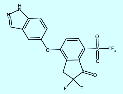 O=C1c2c(S(=O)(=O)C(F)(F)F)ccc(Oc3ccc4[nH]ncc4c3)c2CC1(F)F